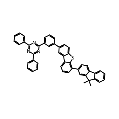 CC1(C)c2ccccc2-c2ccc(-c3cccc4c3sc3ccc(-c5cccc(-c6nc(-c7ccccc7)nc(-c7ccccc7)n6)c5)cc34)cc21